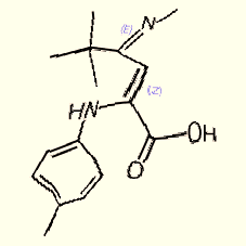 C/N=C(\C=C(/Nc1ccc(C)cc1)C(=O)O)C(C)(C)C